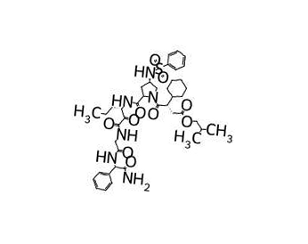 CCC[C@H](NC(=O)C1C[C@@H](NS(=O)(=O)c2ccccc2)CN1C(=O)[C@@H](CC(=O)OCC(C)C)C1CCCCC1)C(=O)C(=O)NCC(=O)N[C@H](C(N)=O)c1ccccc1